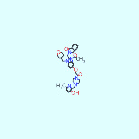 CCn1c(CN2C(=O)c3ccccc3C2=O)[n+](CC2CCOCC2)c2ccc(OCC(=O)N3CCN(Cc4nc(C)ccc4O)CC3)cc21